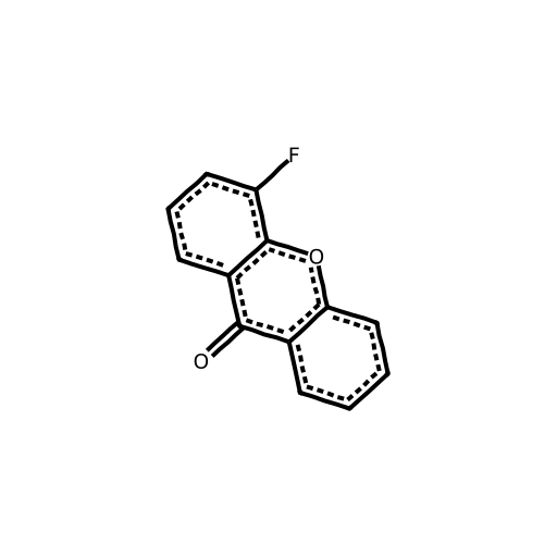 O=c1c2ccccc2oc2c(F)cccc12